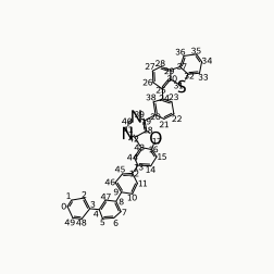 c1ccc(-c2cccc(-c3ccc(-c4ccc5oc6c(-c7cccc(-c8cccc9c8sc8ccccc89)c7)ncnc6c5c4)cc3)c2)cc1